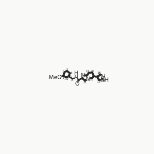 COc1cccc(CNC(=O)c2cn3cc(-c4cn[nH]c4)ccc3n2)c1